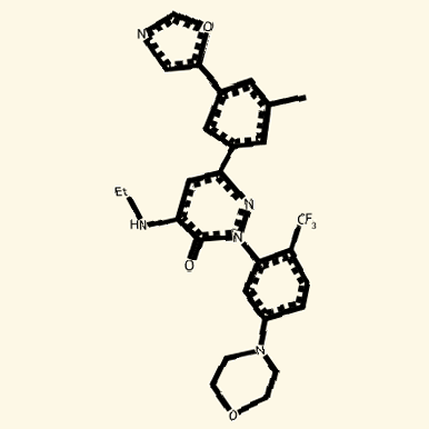 CCNc1cc(-c2cc(C)cc(-c3cnco3)c2)nn(-c2cc(N3CCOCC3)ccc2C(F)(F)F)c1=O